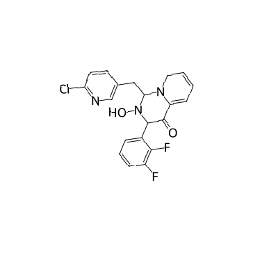 O=C1C2=CC=CCN2C(Cc2ccc(Cl)nc2)N(O)C1c1cccc(F)c1F